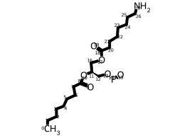 CCCCCCCCC(=O)O[C@H](COP=O)COC(=O)CCCCCCCN